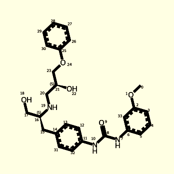 COc1cccc(NC(=O)Nc2ccc(C[C@@H](CO)NC[C@H](O)COc3ccccc3)cc2)c1